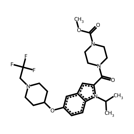 COC(=O)N1CCN(C(=O)c2cc3cc(OC4CCN(CC(F)(F)F)CC4)ccc3n2C(C)C)CC1